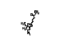 C=CC(=O)CCCCOC(=CC)C(C)(C)CC